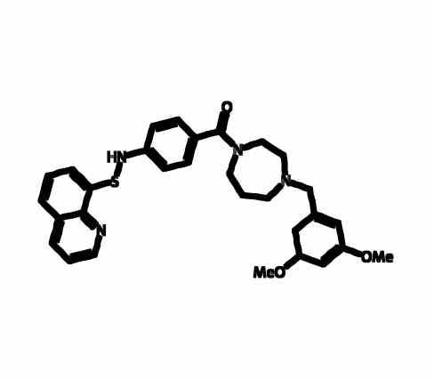 COC1=CC(OC)CC(CN2CCCN(C(=O)c3ccc(NSc4cccc5cccnc45)cc3)CC2)=C1